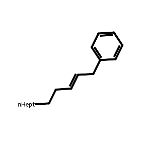 CCCCCCCCCC=CCc1ccccc1